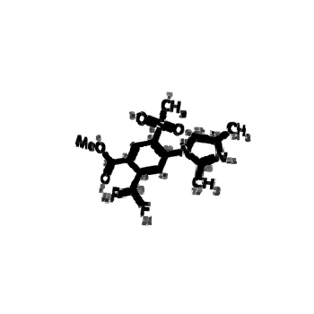 COC(=O)c1cc(S(C)(=O)=O)c(-n2cc(C)nc2C)cc1C(F)F